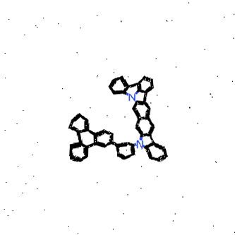 c1cc(-c2ccc3c4ccccc4c4ccccc4c3c2)cc(-n2c3ccccc3c3cc4cc5c6cccc7c8ccccc8n(c5cc4cc32)c76)c1